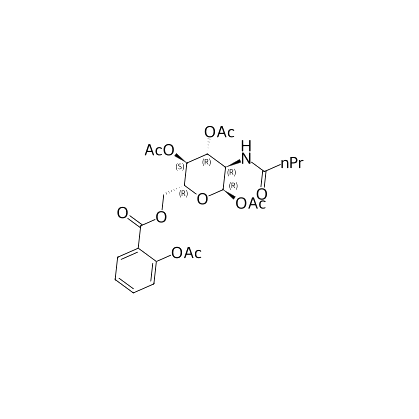 CCCC(=O)N[C@H]1[C@@H](OC(C)=O)O[C@H](COC(=O)c2ccccc2OC(C)=O)[C@@H](OC(C)=O)[C@@H]1OC(C)=O